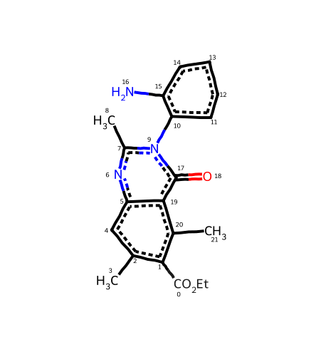 CCOC(=O)c1c(C)cc2nc(C)n(-c3ccccc3N)c(=O)c2c1C